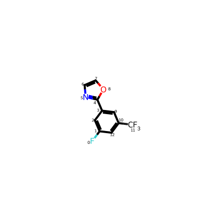 Fc1cc(-c2n[c]co2)cc(C(F)(F)F)c1